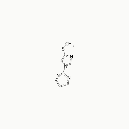 CSc1cn(-c2ncccn2)cn1